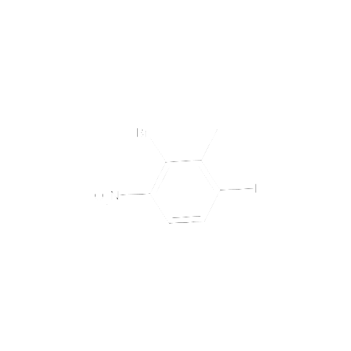 Cc1c(I)ccc([N+](=O)[O-])c1Br